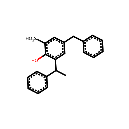 CC(c1ccccc1)c1cc(Cc2ccccc2)cc(S(=O)(=O)O)c1O